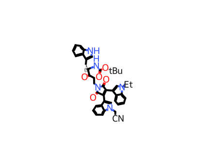 CCn1cc(C2=C(c3cn(CC#N)c4ccccc34)C(=O)N(CCC(=O)[C@H](Cc3c[nH]c4ccccc34)NC(=O)OC(C)(C)C)C2=O)c2ccccc21